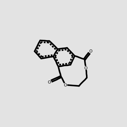 O=C1OCCOC(=O)c2cc1cc1ccccc21